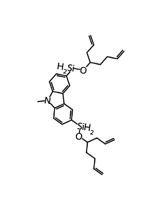 C=CCCC(CC=C)O[SiH2]c1ccc2c(c1)c1cc([SiH2]OC(CC=C)CCC=C)ccc1n2C